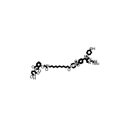 CCCCNc1ncc2c(-c3ccc(S(=O)(=O)N4CCN(C(=O)CCCCCCCCCCNC(=O)COc5cccc6c5C(=O)N(C5CCC(=O)NC5=O)C6=O)CC4)cc3)nn([C@H]3CC[C@H](O)CC3)c2n1